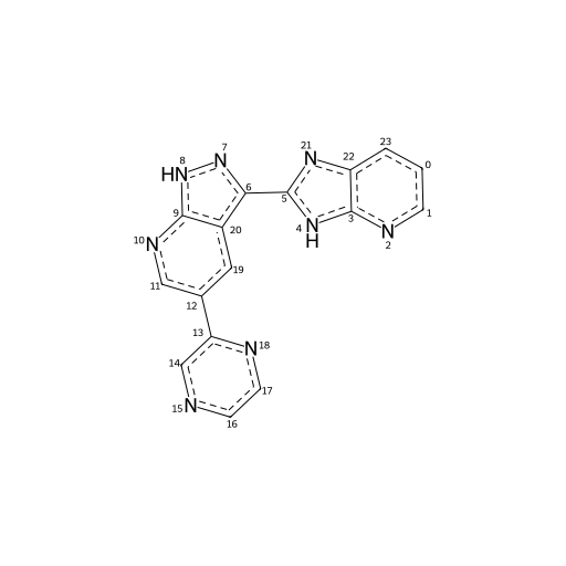 c1cnc2[nH]c(-c3n[nH]c4ncc(-c5cnccn5)cc34)nc2c1